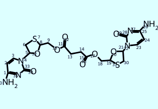 Nc1ccn(C2CSC(COC(=O)CCC(=O)OCC3OC(n4ccc(N)nc4=O)CS3)O2)c(=O)n1